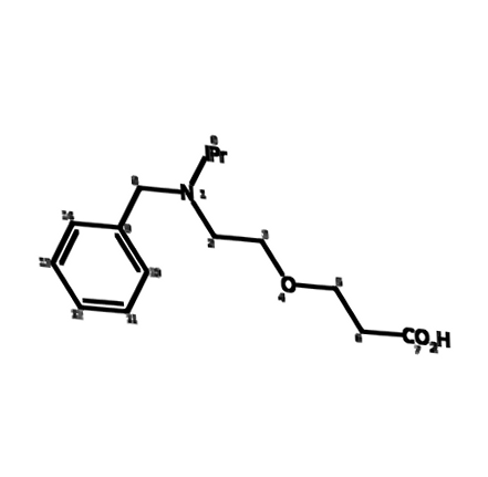 CC(C)N(CCOCCC(=O)O)Cc1ccccc1